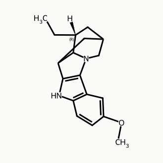 CC[C@@H]1CC2CC3c4[nH]c5ccc(OC)cc5c4N(C2)C31